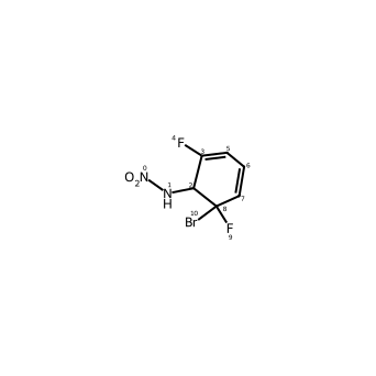 O=[N+]([O-])NC1C(F)=CC=CC1(F)Br